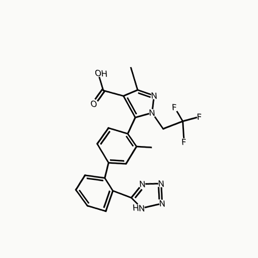 Cc1cc(-c2ccccc2-c2nnn[nH]2)ccc1-c1c(C(=O)O)c(C)nn1CC(F)(F)F